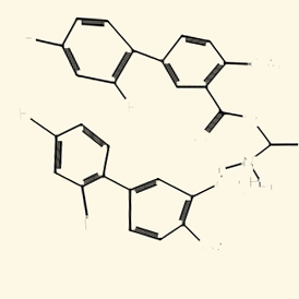 CC(=O)Oc1ccc(-c2ccc(F)cc2F)cc1C(=O)O.CCN(CC)C(C)OC(=O)c1cc(-c2ccc(F)cc2F)ccc1OC(C)=O